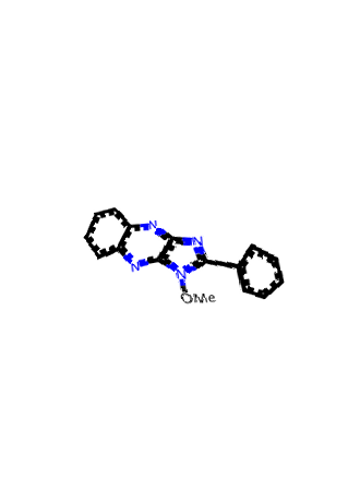 COn1c(-c2ccccc2)nc2nc3ccccc3nc21